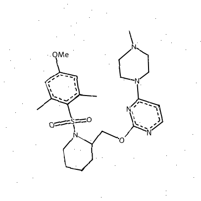 COc1cc(C)c(S(=O)(=O)N2CCCCC2COc2nccc(N3CCN(C)CC3)n2)c(C)c1